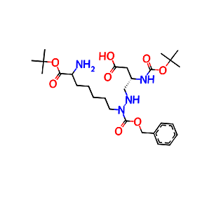 CC(C)(C)OC(=O)N[C@H](CNN(CCCCCC(N)C(=O)OC(C)(C)C)C(=O)OCc1ccccc1)CC(=O)O